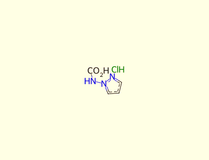 Cl.O=C(O)Nn1cccn1